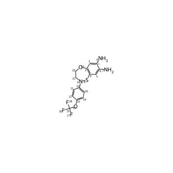 Nc1cc2c(cc1N)SN(c1ccc(OC(F)(F)F)cc1)CCO2